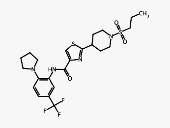 CCCS(=O)(=O)N1CCC(c2nc(C(=O)Nc3cc(C(F)(F)F)ccc3N3CCCC3)cs2)CC1